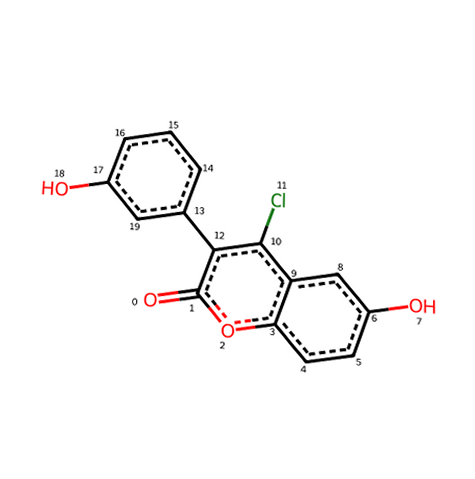 O=c1oc2ccc(O)cc2c(Cl)c1-c1cccc(O)c1